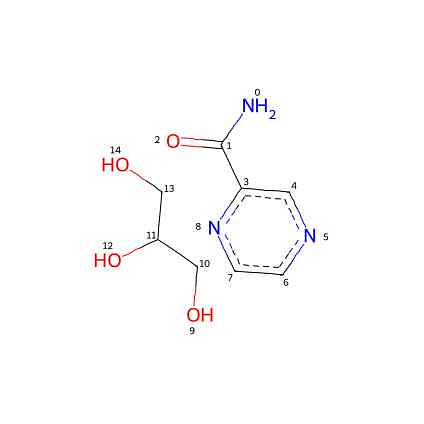 NC(=O)c1cnccn1.OCC(O)CO